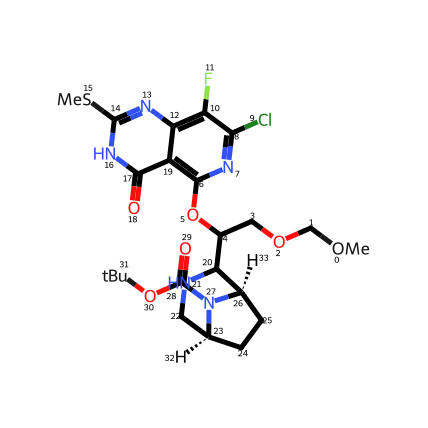 COCOCC(Oc1nc(Cl)c(F)c2nc(SC)[nH]c(=O)c12)C1NC[C@@H]2CC[C@H]1N2C(=O)OC(C)(C)C